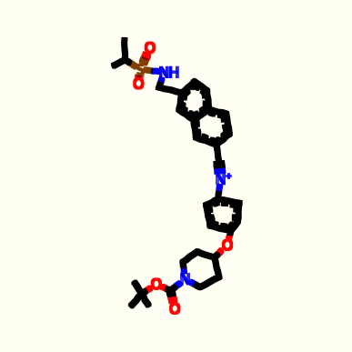 CC(C)S(=O)(=O)NCc1ccc2ccc(C#[N+]c3ccc(OC4CCN(C(=O)OC(C)(C)C)CC4)cc3)cc2c1